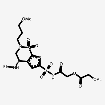 CCN[C@H]1CN(CCCOC)S(=O)(=O)c2sc(S(=O)(=O)NC(=O)COC(=O)COC(C)=O)cc21